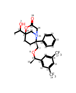 CC(O)C12CC[C@@](CO[C@H](C)c3cc(C(F)(F)F)cc(C(F)(F)F)c3)(c3ccccc3)N(CC(=O)O1)C2